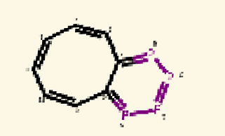 C1=CC=Cc2ppppc2C=C1